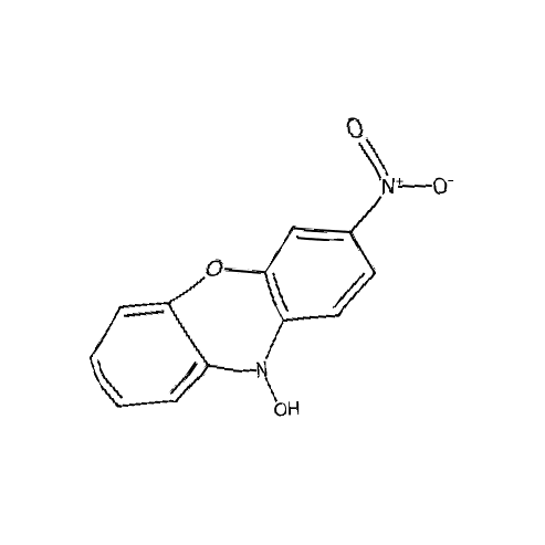 O=[N+]([O-])c1ccc2c(c1)Oc1ccccc1N2O